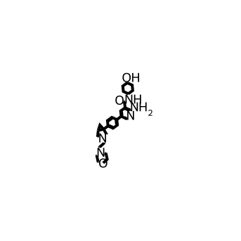 Nc1ncc(-c2ccc(C34CC3CN(CCN3CCOCC3)C4)cc2)cc1C(=O)NC1CCC(O)CC1